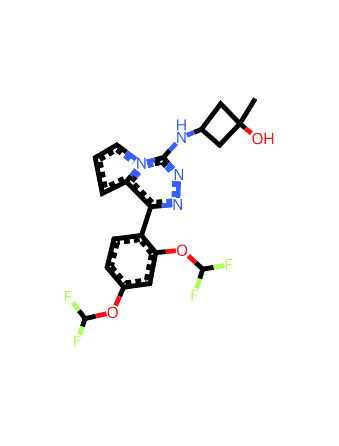 CC1(O)CC(Nc2nnc(-c3ccc(OC(F)F)cc3OC(F)F)c3cccn23)C1